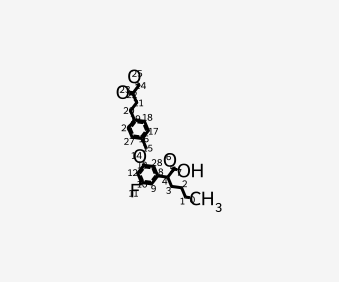 CCCCC(C(=O)O)c1cc(F)cc(OCc2ccc(CCC(=O)C=O)cc2)c1